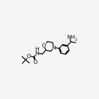 CC(N)c1cccc(N2CCOC(CNC(=O)OC(C)(C)C)C2)c1